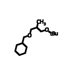 CC(COCC1CCCCC1)COC(C)(C)C